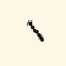 Fc1cc(-c2ccc(-c3ccc4cc(-c5ccc(-c6nc7ccccc7o6)nc5)ccc4c3)cc2)cc(F)c1F